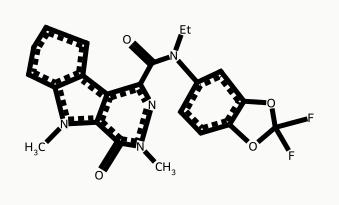 CCN(C(=O)c1nn(C)c(=O)c2c1c1ccccc1n2C)c1ccc2c(c1)OC(F)(F)O2